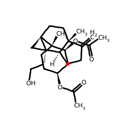 C=C1CC[C@H]2[C@@]3(CCO)C[C@]3([C@@]3(C)CC[C@H](OC(C)=O)C[C@@H]3OC(C)=O)CC[C@]12C